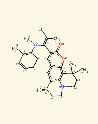 CC/C(C)=C(/c1cc2cc3c4c(c2oc1=O)C(C)(C)CCN4CC[C@H]3C)N(C)C1=C(C)C=CCC1